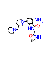 CC(C)NC(=O)CNC(=O)c1cc(N2CCCC(CN3CCCCC3)C2)ccc1N